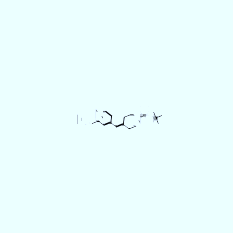 CC(C)(C)OC(=O)N1CCC(=Cc2ccnc(CO)c2)CC1